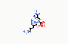 NCCC[C@H](N)C(=O)N[C@@H](Cc1c[nH]cn1)C(=O)O